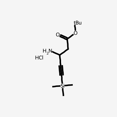 CC(C)(C)OC(=O)CC(N)C#C[Si](C)(C)C.Cl